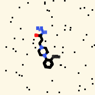 COc1ccccc1N1CCN(CCC(=O)NN)CC1